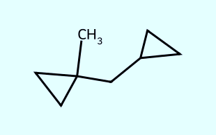 CC1(CC2CC2)CC1